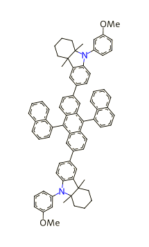 COc1cccc(N2c3ccc(-c4ccc5c(-c6cccc7ccccc67)c6cc(-c7ccc8c(c7)C7(C)CCCCC7(C)N8c7cccc(OC)c7)ccc6c(-c6cccc7ccccc67)c5c4)cc3C3(C)CCCCC23C)c1